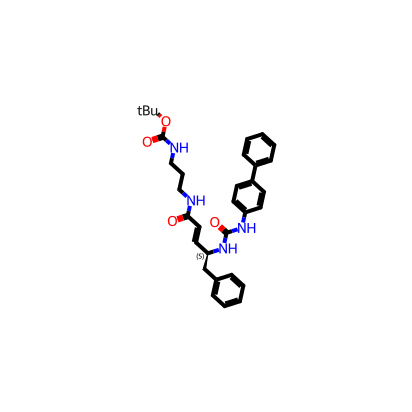 CC(C)(C)OC(=O)NCCCNC(=O)C=C[C@H](Cc1ccccc1)NC(=O)Nc1ccc(-c2ccccc2)cc1